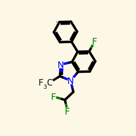 Fc1ccc2c(nc(C(F)(F)F)n2CC(F)F)c1-c1cc[c]cc1